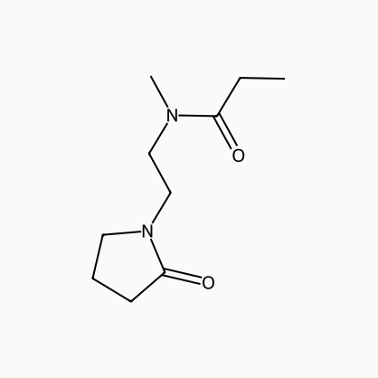 CCC(=O)N(C)CCN1CCCC1=O